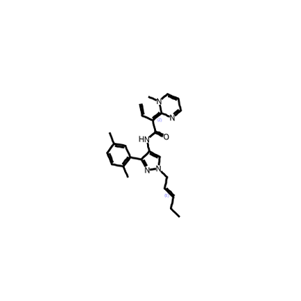 C=C/C(C(=O)Nc1cn(C/C=C/CC)nc1-c1cc(C)ccc1C)=C1/N=CC=CN1C